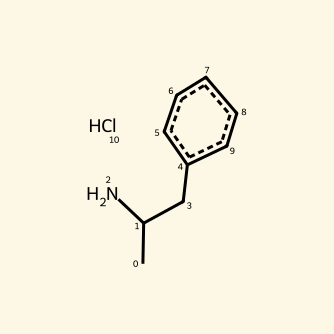 CC(N)Cc1ccccc1.Cl